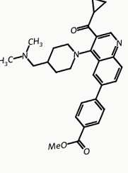 COC(=O)c1ccc(-c2ccc3ncc(C(=O)C4CC4)c(N4CCC(CN(C)C)CC4)c3c2)cc1